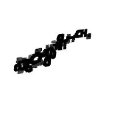 CCCCC(=O)NC[C@H]1CN(c2ccc(N3CCOCC3=O)cc2)C(=O)O1